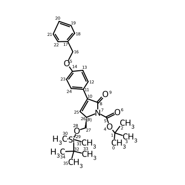 CC(C)(C)OC(=O)N1C(=O)C(c2ccc(OCc3ccccc3)cc2)=C[C@@H]1CO[Si](C)(C)C(C)(C)C